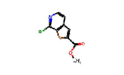 COC(=O)c1cc2ccnc(Br)c2s1